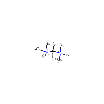 CCCC[N+](CCCC)(CCCC)C(C(=O)[O-])(C(=O)[O-])[N+](CCCC)(CCCC)CCCC